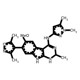 COc1cc2c3c([nH]c2cc1-c1c(C)noc1C)NC(C)N=C3Nc1cc(C)n(C)n1